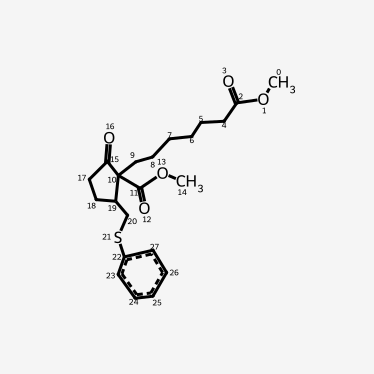 COC(=O)CCCCCCC1(C(=O)OC)C(=O)CCC1CSc1ccccc1